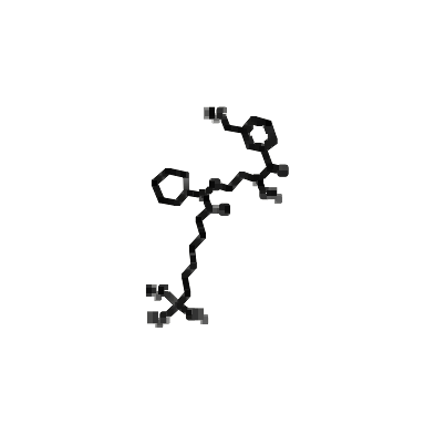 CCc1cccc(C(=O)N(C)CCON(C(=O)CCCCCCC(C)(C)C)C2CCCCC2)c1